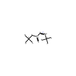 C=S(/C=N\C(C)(C)C)CC(C)(C)C